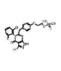 CC(C)c1n[nH]c2nc(Cc3ccc(OCCOP(=O)(O)O)cc3)n(-c3c(Cl)cccc3Cl)c(=O)c12